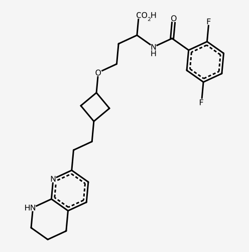 O=C(NC(CCOC1CC(CCc2ccc3c(n2)NCCC3)C1)C(=O)O)c1cc(F)ccc1F